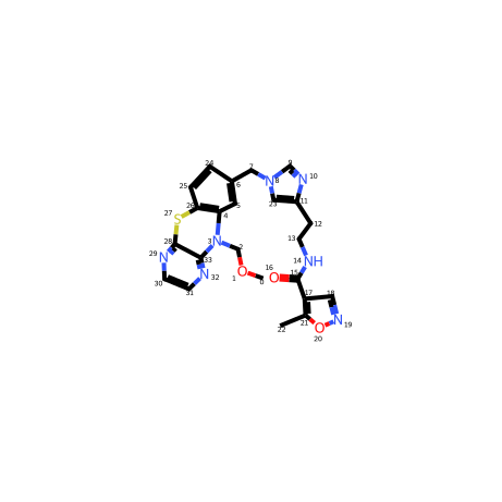 COCN1c2cc(Cn3cnc(CCNC(=O)c4cnoc4C)c3)ccc2Sc2nccnc21